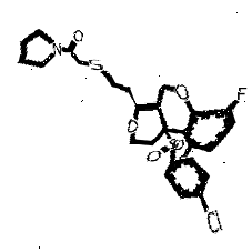 O=C(CSCC[C@@H]1OCC[C@@]2(S(=O)(=O)c3ccc(Cl)cc3)c3c(F)ccc(F)c3OCC12)N1CCCC1